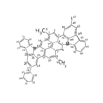 Cc1cc2c3c(cc4c(C)cc5c6c(cc1c3c46)B1c3ccccc3-c3cc(-c4ccccc4)cc-5c31)B1c3ccccc3-c3cc(I)cc-2c31